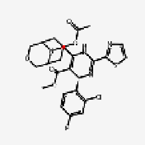 COC(=O)C1=C(CN2C3COCC2CC(OC(C)=O)C3)NC(c2nccs2)=N[C@H]1c1ccc(F)cc1Cl